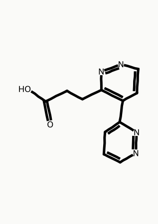 O=C(O)CCc1nnccc1-c1cccnn1